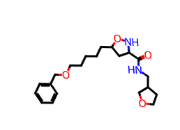 O=C(NCC1CCOC1)C1CC(CCCCCOCc2ccccc2)ON1